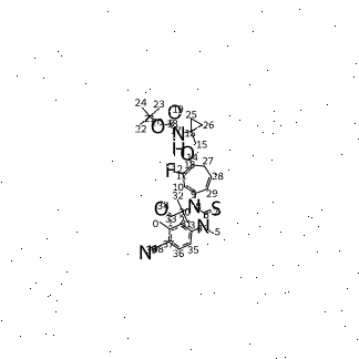 Cc1cc(N(C)C(=S)N(C2=CC(F)=C(OCC3(NC(=O)OC(C)(C)C)CC3)CC=C2)C(C)(C)C=O)ccc1C#N